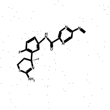 C=Nc1cnc(C(=O)Nc2ccc(F)c([C@]3(C)CCSC(N)=N3)c2)cn1